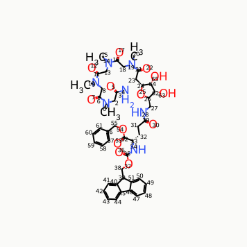 CN(CC(N)=O)C(=O)CN(C)C(=O)CN(C)C(=O)CN(C)C(=O)C[C@@H]1O[C@H](CNC(=O)CC[C@H](NC(=O)OCC2c3ccccc3-c3ccccc32)C(=O)OCc2ccccc2)[C@@H](O)[C@H]1O